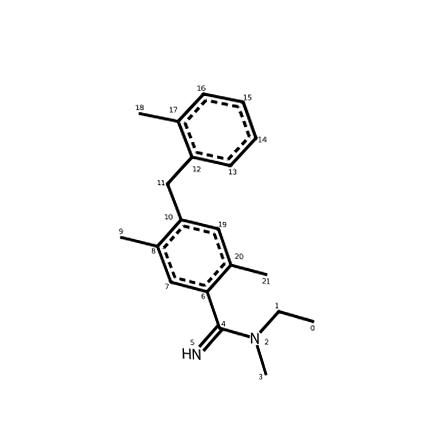 CCN(C)C(=N)c1cc(C)c(Cc2ccccc2C)cc1C